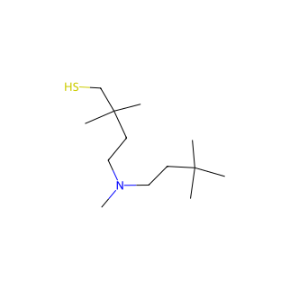 CN(CCC(C)(C)C)CCC(C)(C)CS